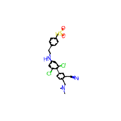 CN(C)Cc1ccc(-c2c(Cl)cc(NCCc3ccc(C[SH](=O)=O)cc3)cc2Cl)cc1C#N